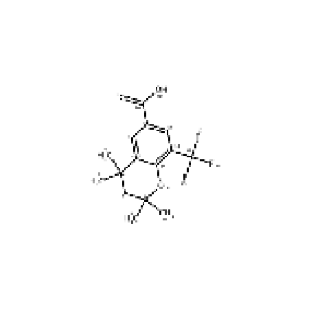 CC1(C)CC(C)(C)c2cc(C(=O)O)cc(C(F)(F)F)c2O1